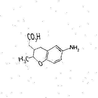 CC1Oc2ccc(N)cc2CC1CC(=O)O